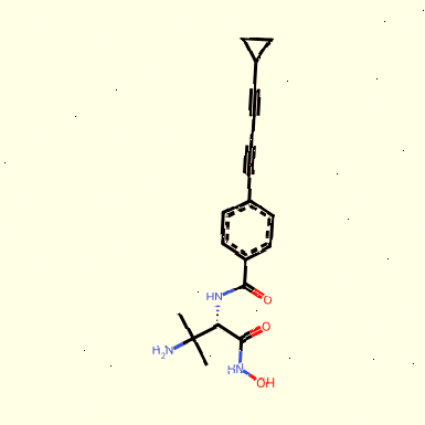 CC(C)(N)[C@H](NC(=O)c1ccc(C#CC#CC2CC2)cc1)C(=O)NO